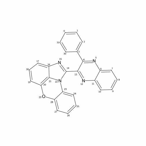 c1ccc(-c2nc3ccccc3nc2-c2nc3cccc4c3n2-c2ccccc2O4)cc1